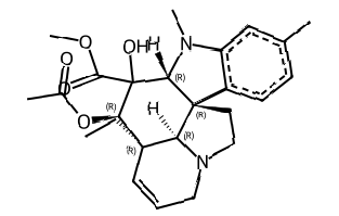 CC[C@]12C=CCN3CC[C@@]4(c5ccc(C)cc5N(C)[C@H]4C(O)(C(=O)OC)[C@@H]1OC(C)=O)[C@@H]32